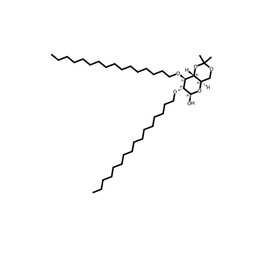 CCCCCCCCCCCCCCCCO[C@@H]1[C@@H](OCCCCCCCCCCCCCCCC)[C@H](O)O[C@@H]2COC(C)(C)O[C@@H]12